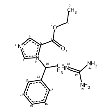 CCOC(=O)c1cncn1C(C)c1ccccc1.N=C(N)N